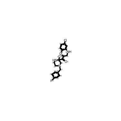 CC1(C(=O)C2CNc3cc(Cl)ccc3O2)CN(Cc2ccc(F)cc2)CCN1